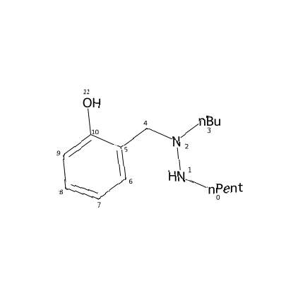 CCCCCNN(CCCC)Cc1ccccc1O